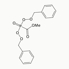 COC(=O)P(=O)(OOCc1ccccc1)OOCc1ccccc1